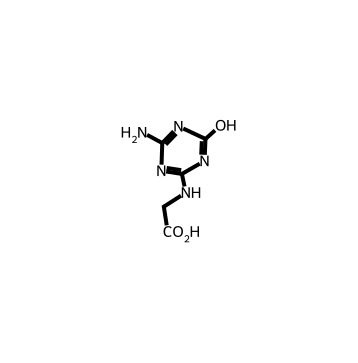 Nc1nc(O)nc(NCC(=O)O)n1